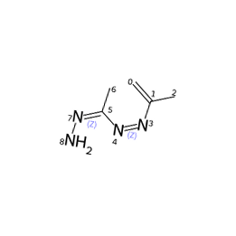 C=C(C)/N=N\C(C)=N/N